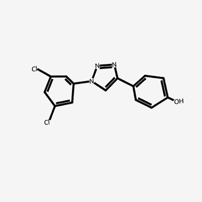 Oc1ccc(-c2cn(-c3cc(Cl)cc(Cl)c3)nn2)cc1